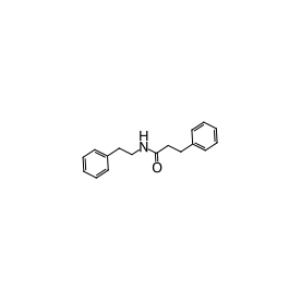 O=C(CCc1ccccc1)NCCc1ccccc1